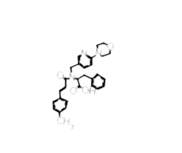 Cc1ccc(C=CC(=O)N(Cc2ccc(N3CCOCC3)nc2)C(Cc2ccccc2)C(=O)O)cc1